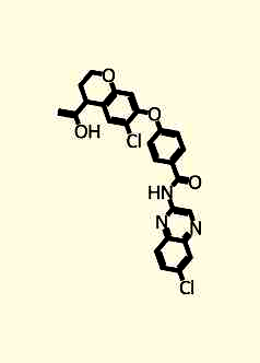 C=C(O)C1CCOc2cc(Oc3ccc(C(=O)Nc4cnc5cc(Cl)ccc5n4)cc3)c(Cl)cc21